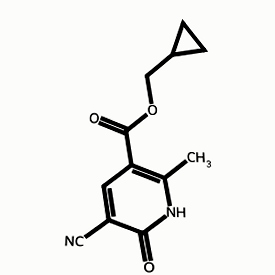 Cc1[nH]c(=O)c(C#N)cc1C(=O)OCC1CC1